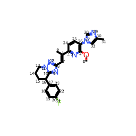 COc1nc(/C(C)=C/c2nc3n(n2)CCCC3c2ccc(F)cc2)ccc1-n1cnc(C)c1